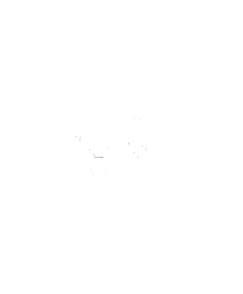 O=C(c1n[nH]c2c1C=CC(c1ccccc1)(c1ccncn1)C2)C1CC1